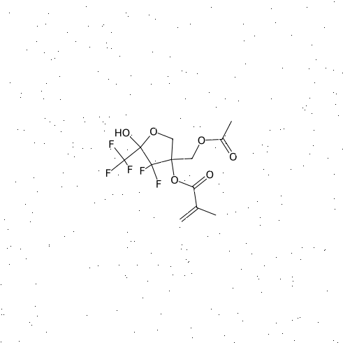 C=C(C)C(=O)OC1(COC(C)=O)COC(O)(C(F)(F)F)C1(F)F